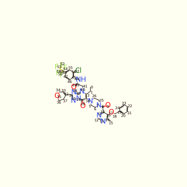 CCc1c(N2CCN(C(=O)c3ncnc(C)c3OCc3ccccc3)CC2)c(=O)n2nc(C3=CCOCC3)nc2n1CC(=O)Nc1ccc(S(F)(F)(F)(F)F)cc1Cl